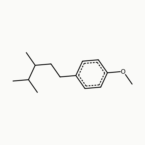 COc1ccc(CCC(C)C(C)C)cc1